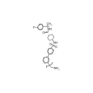 C[C@@H](NC(=O)[C@H]1CC[C@H](NS(=O)(=O)c2ccc(-c3cccc(C(F)(F)CN)c3)cc2)CC1)c1ccc(F)cc1